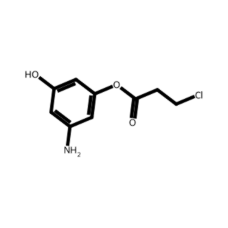 Nc1cc(O)cc(OC(=O)CCCl)c1